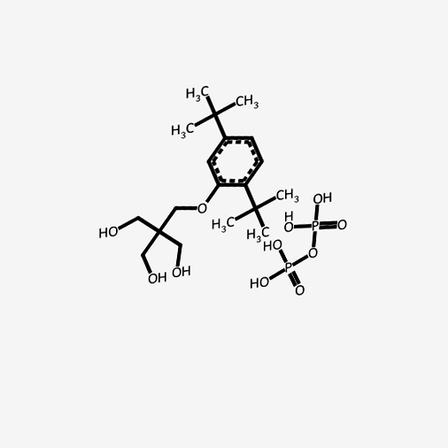 CC(C)(C)c1ccc(C(C)(C)C)c(OCC(CO)(CO)CO)c1.O=P(O)(O)OP(=O)(O)O